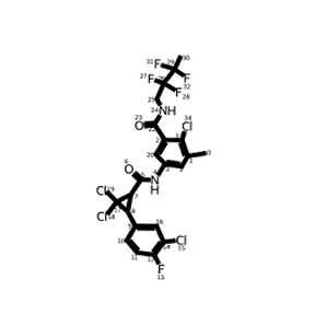 Cc1cc(NC(=O)C2C(c3ccc(F)c(Cl)c3)C2(Cl)Cl)cc(C(=O)NCC(F)(F)C(C)(F)F)c1Cl